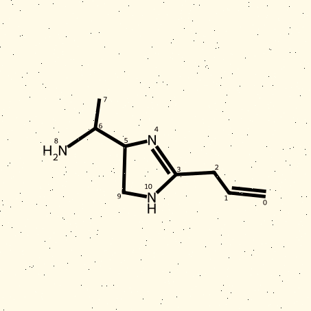 C=CCC1=NC(C(C)N)CN1